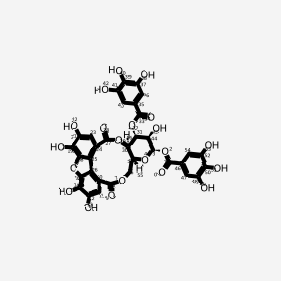 O=C(O[C@@H]1O[C@@H]2COC(=O)c3cc(O)c(O)c4oc5c(O)c(O)cc(c5c34)C(=O)O[C@H]2[C@H](OC(=O)c2cc(O)c(O)c(O)c2)[C@H]1O)c1cc(O)c(O)c(O)c1